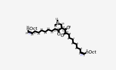 CCCCCCCC/C=C\CCCCCCCC(=O)C(=O)C(CN(C)C)C(=O)CCCCCCC/C=C\CCCCCCCC